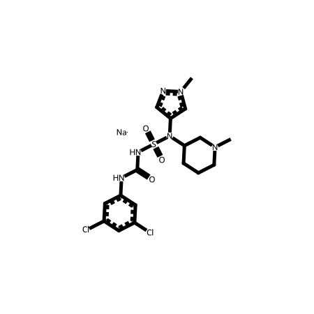 CN1CCCC(N(c2cnn(C)c2)S(=O)(=O)NC(=O)Nc2cc(Cl)cc(Cl)c2)C1.[Na]